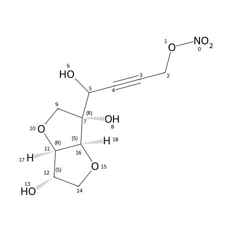 O=[N+]([O-])OCC#CC(O)[C@]1(O)CO[C@@H]2[C@@H](O)CO[C@@H]21